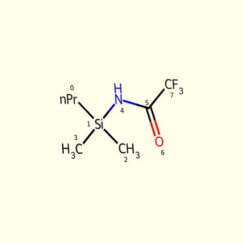 CCC[Si](C)(C)NC(=O)C(F)(F)F